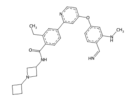 CCc1cc(-c2cc(Oc3ccc(C=N)c(NC)c3)ccn2)ccc1C(=O)NC1CN(C2CCC2)C1